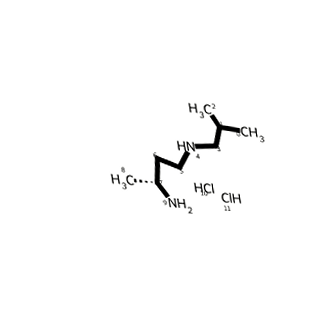 CC(C)CNCC[C@@H](C)N.Cl.Cl